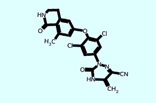 C=C1NC(=O)N(c2cc(Cl)c(Oc3cc(C)c4c(c3)CCNC4=O)c(Cl)c2)N=C1C#N